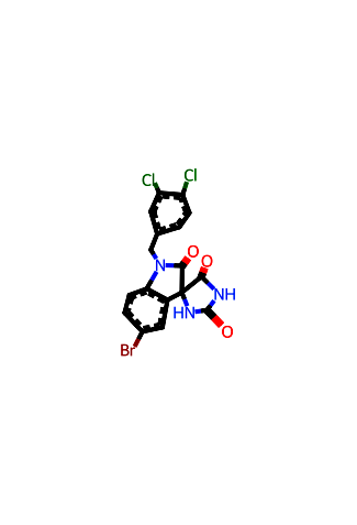 O=C1NC(=O)C2(N1)C(=O)N(Cc1ccc(Cl)c(Cl)c1)c1ccc(Br)cc12